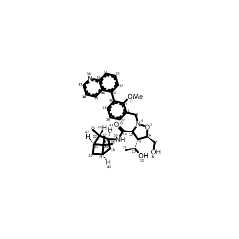 COc1c(CN2O[C@@H](CO)[C@H]([C@H](C)O)[C@H]2C(=O)N[C@H]2C[C@H]3C[C@@H]([C@@H]2C)C3(C)C)cccc1-c1cccc2ncccc12